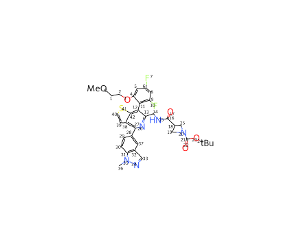 COCCOc1cc(F)cc(F)c1-c1c(CNC(=O)C2CN(C(=O)OC(C)(C)C)C2)nc(-c2ccc3c(cnn3C)c2)c2ccsc12